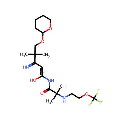 CC(C)(COC1CCCCO1)C(=N)/C=C(\O)NC(=O)C(C)(C)NCCOC(F)(F)F